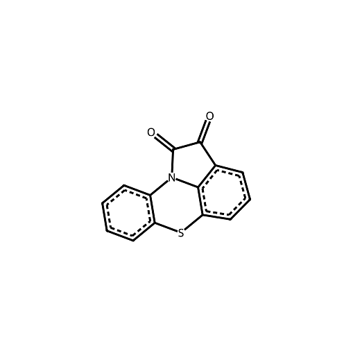 O=C1C(=O)N2c3ccccc3Sc3cccc1c32